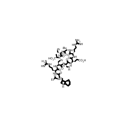 CCC(=O)N[C@@H](Cc1c[nH]c2ccccc12)C(=O)N[C@@H](CCCNC(=N)N)C(=O)N[C@@H](CC(C)C)C(=O)N[C@@H](CS)C(=O)N[C@@H](CCC(=O)O)C(=O)N[C@@H](CCCNC(=N)N)C(=O)N[C@H](C(=O)N[C@@H](CC(C)C)C(=O)N[C@@H](C)C(=O)O)[C@@H](C)CC